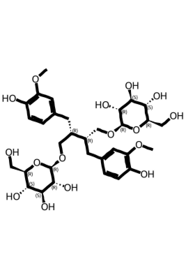 COc1cc(C[C@@H](CO[C@@H]2O[C@H](CO)[C@@H](O)[C@H](O)[C@H]2O)[C@H](CO[C@@H]2O[C@H](CO)[C@@H](O)[C@H](O)[C@H]2O)Cc2ccc(O)c(OC)c2)ccc1O